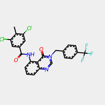 Cc1c(Cl)cc(C(=O)Nc2cccc3ncn(Cc4ccc(C(F)(F)F)cc4)c(=O)c23)cc1Cl